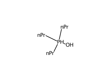 CCC[PH](O)(CCC)CCC